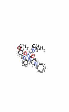 CCN(CC)CCN1C(=O)N(Cc2ccc(OC)cc2)c2ccccc2N(C2CCN(C3CCCCCCC3)CC2)C1=O